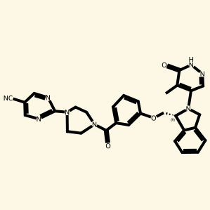 Cc1c(N2Cc3ccccc3[C@@H]2COc2cccc(C(=O)N3CCN(c4ncc(C#N)cn4)CC3)c2)cn[nH]c1=O